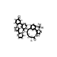 [2H]C([2H])([2H])n1ncc2c1-c1cccc(c1)[C@@H](n1cnc(-c3cc(Cl)ccc3-n3cc(-c4ncccn4)nn3)cc1=O)CCC[C@@H](C)C(=O)N2